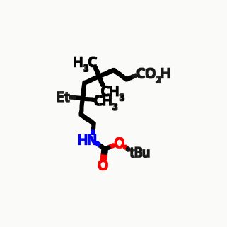 CCC(C)(CCNC(=O)OC(C)(C)C)CC(C)(C)CCC(=O)O